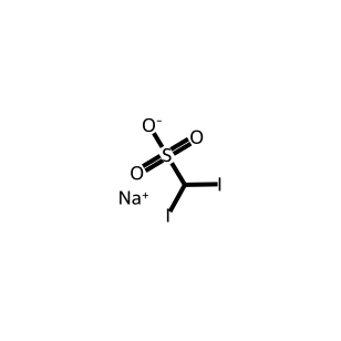 O=S(=O)([O-])C(I)I.[Na+]